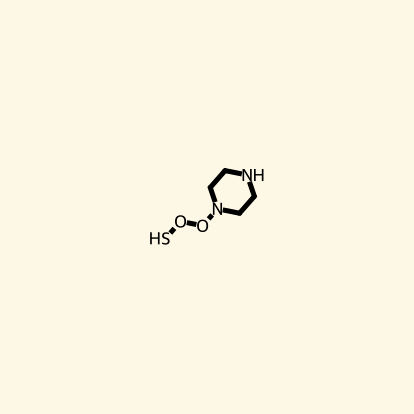 SOON1CCNCC1